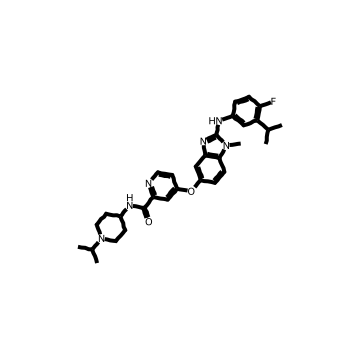 CC(C)c1cc(Nc2nc3cc(Oc4ccnc(C(=O)NC5CCN(C(C)C)CC5)c4)ccc3n2C)ccc1F